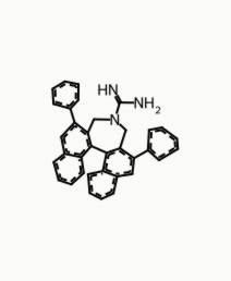 N=C(N)N1Cc2c(-c3ccccc3)cc3ccccc3c2-c2c(c(-c3ccccc3)cc3ccccc23)C1